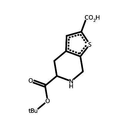 CC(C)(C)OC(=O)C1Cc2cc(C(=O)O)sc2CN1